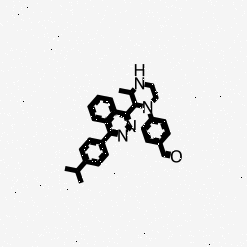 CC(C)c1ccc(-c2nnc(C3C(C)NCCN3c3ccc(C=O)cc3)c3ccccc23)cc1